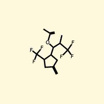 C=C1CC(C(OC(=C)C)C(C)C(F)(F)F)C(C(F)(F)F)C1